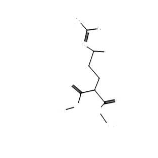 CC(C)(C)OC(=O)C(CCC(O)N=C(N)N)C(=O)OC(C)(C)C